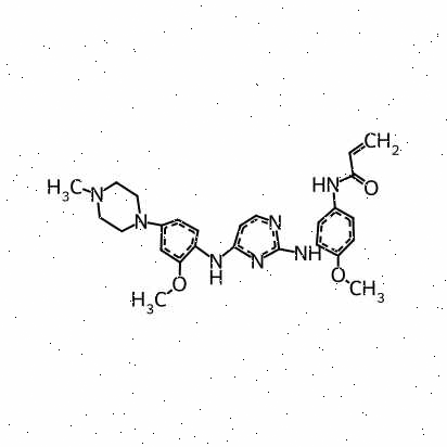 C=CC(=O)Nc1ccc(OC)c(Nc2nccc(Nc3ccc(N4CCN(C)CC4)cc3OC)n2)c1